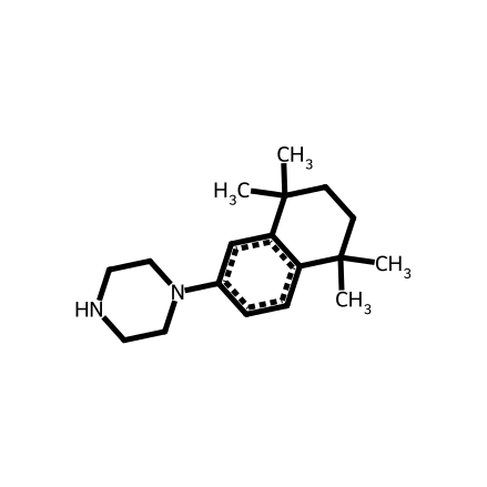 CC1(C)CCC(C)(C)c2cc(N3CCNCC3)ccc21